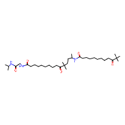 CC(C)NC(=O)CNC(=O)CCCCCCCCC(=O)C(C)(C)CCC(C)NC(=O)CCCCCCCCC(=O)C(C)(C)C